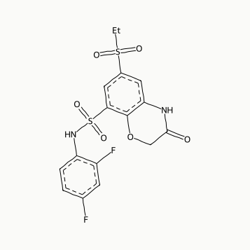 CCS(=O)(=O)c1cc2c(c(S(=O)(=O)Nc3ccc(F)cc3F)c1)OCC(=O)N2